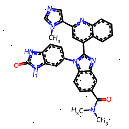 CN(C)C(=O)c1ccc2c(c1)nc(-c1cc(-c3cncn3C)nc3ccccc13)n2-c1ccc2[nH]c(=O)[nH]c2c1